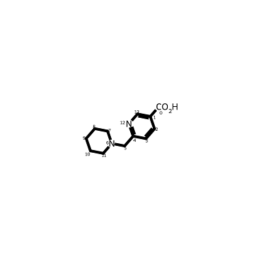 O=C(O)c1ccc(CN2CC[CH]CC2)nc1